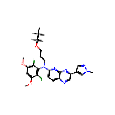 COc1cc(OC)c(F)c(N(CCCO[Si](C)(C)C(C)(C)C)c2ccc3ncc(-c4cnn(C)c4)nc3n2)c1F